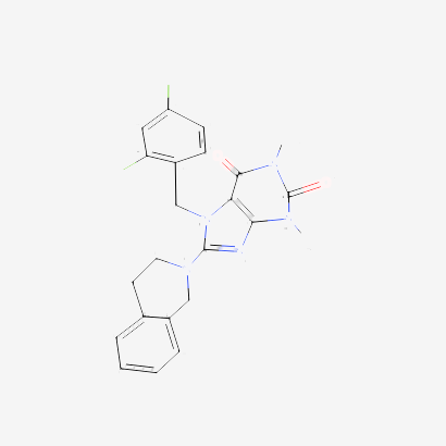 Cn1c(=O)c2c(nc(N3CCc4ccccc4C3)n2Cc2ccc(F)cc2F)n(C)c1=O